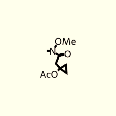 CON(C)C(=O)CC1(OC(C)=O)CC1